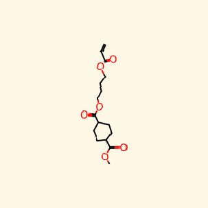 C=CC(=O)OCCCCOC(=O)C1CCC(C(=O)OC)CC1